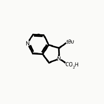 CC(C)(C)C1c2ccncc2CN1C(=O)O